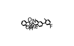 COc1ccccc1C(=O)Nc1cc2ccc(-c3cc(F)ccc3C)cc2cn1